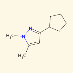 Cc1cc(C2CCCC2)nn1C